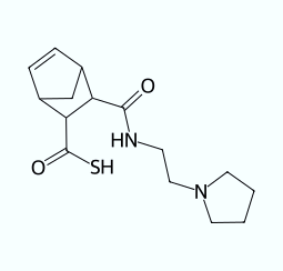 O=C(S)C1C2C=CC(C2)C1C(=O)NCCN1CCCC1